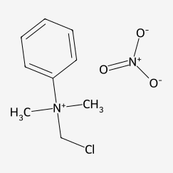 C[N+](C)(CCl)c1ccccc1.O=[N+]([O-])[O-]